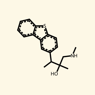 CNCC(C)(O)C(C)c1ccc2sc3ccccc3c2c1